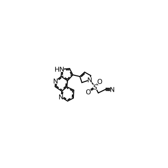 N#CCS(=O)(=O)N1CC=C(c2c[nH]c3ncc4ncccc4c23)C1